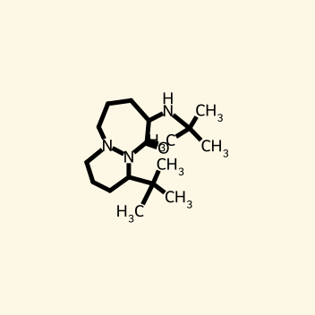 CC(C)(C)NC1CCCN2CCCC(C(C)(C)C)N2C1=O